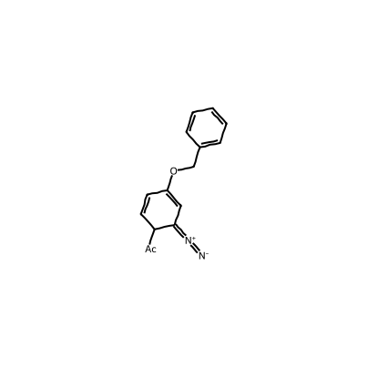 CC(=O)C1C=CC(OCc2ccccc2)=CC1=[N+]=[N-]